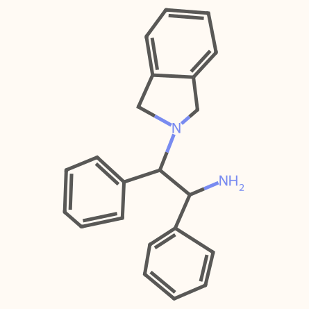 NC(c1ccccc1)C(c1ccccc1)N1Cc2ccccc2C1